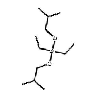 C[CH2][Zr]([CH2]C)([O]CC(C)C)[O]CC(C)C